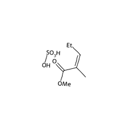 CCC=C(C)C(=O)OC.O=S(=O)(O)O